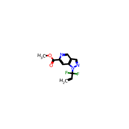 C=CC(F)(F)n1ncc2cnc(C(=O)OC)cc21